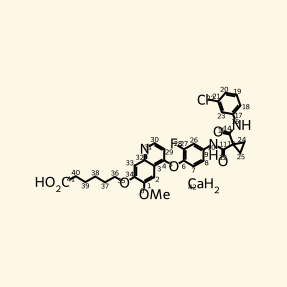 COc1cc2c(Oc3ccc(NC(=O)C4(C(=O)Nc5cccc(Cl)c5)CC4)cc3F)ccnc2cc1OCCCCCC(=O)O.[CaH2]